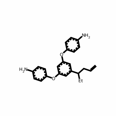 C=CCC(CC)c1cc(Oc2ccc(N)cc2)cc(Oc2ccc(N)cc2)c1